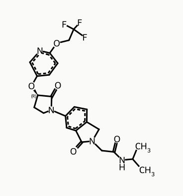 CC(C)NC(=O)CN1Cc2ccc(N3CC[C@@H](Oc4ccc(OCC(F)(F)F)nc4)C3=O)cc2C1=O